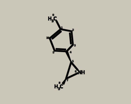 Cc1ccc([C@H]2N[C@H]2C)cc1